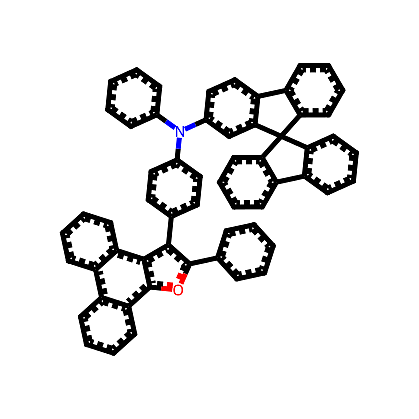 c1ccc(-c2oc3c4ccccc4c4ccccc4c3c2-c2ccc(N(c3ccccc3)c3ccc4c(c3)C3(c5ccccc5-c5ccccc53)c3ccccc3-4)cc2)cc1